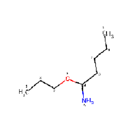 CCCCC(N)OCCC